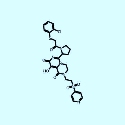 O=C1c2c(O)c(=O)nc(C3CCCN3C(=O)CSc3ccccc3Cl)n2CCN1CCS(=O)(=O)c1ccncc1